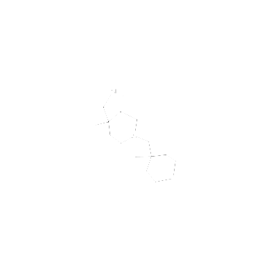 CC1(CN)CCN(CC2(C)CCOCC2)CC1